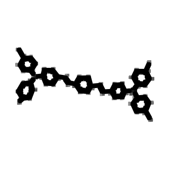 Cc1ccc(N(c2ccc(C)cc2)c2ccc(C=Cc3ccc(C=Cc4ccc([As](c5ccc(C)cc5)c5ccc(C)cc5)cc4)cc3)cc2)cc1